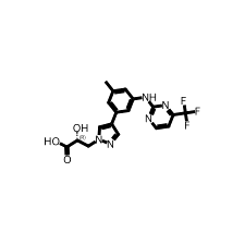 Cc1cc(Nc2nccc(C(F)(F)F)n2)cc(-c2cnn(C[C@@H](O)C(=O)O)c2)c1